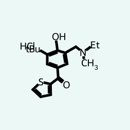 CCN(C)Cc1cc(C(=O)c2cccs2)cc(C(C)(C)C)c1O.Cl